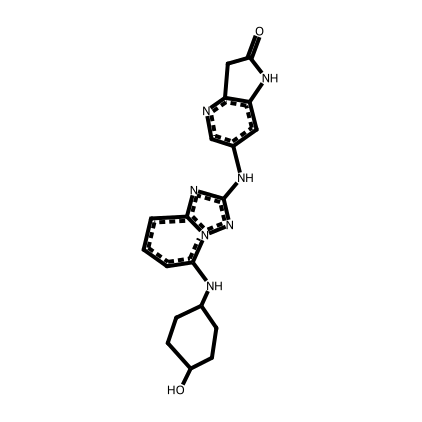 O=C1Cc2ncc(Nc3nc4cccc(NC5CCC(O)CC5)n4n3)cc2N1